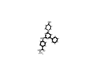 CNC(=O)c1ccc(Nc2nc(-c3ccccc3)cc(N3CCC(O)CC3)n2)cc1